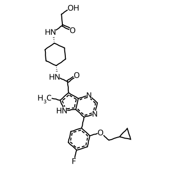 Cc1[nH]c2c(-c3ccc(F)cc3OCC3CC3)ncnc2c1C(=O)N[C@H]1CC[C@@H](NC(=O)CO)CC1